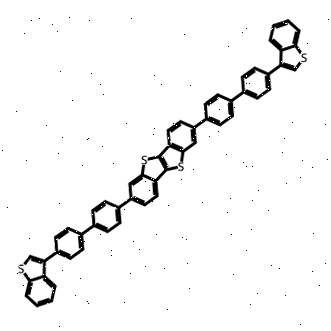 c1ccc2c(-c3ccc(-c4ccc(-c5ccc6c(c5)sc5c7ccc(-c8ccc(-c9ccc(-c%10csc%11ccccc%10%11)cc9)cc8)cc7sc65)cc4)cc3)csc2c1